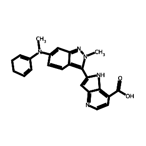 CN(C1=CCCC=C1)c1ccc2c(-c3cc4nccc(C(=O)O)c4[nH]3)n(C)nc2c1